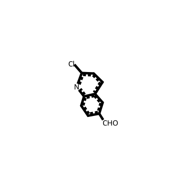 O=Cc1ccc2nc(Cl)ccc2c1